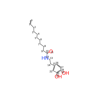 C=CCCCCCCCCC(=O)NCCc1ccc(O)c(O)c1